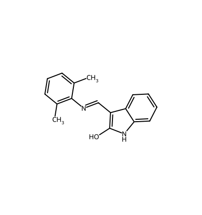 Cc1cccc(C)c1N=Cc1c(O)[nH]c2ccccc12